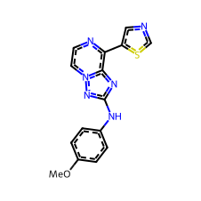 COc1ccc(Nc2nc3c(-c4cncs4)nccn3n2)cc1